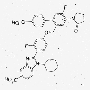 Cl.O=C(O)c1ccc2c(c1)nc(-c1ccc(OCc3cc(N4CCCC4=O)c(F)cc3-c3ccc(Cl)cc3)cc1F)n2C1CCCCC1